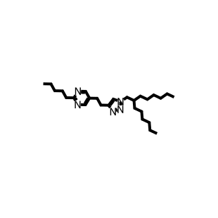 CCCCCCC(CCCCCC)Cn1cc(CCc2cnc(CCCCC)nc2)nn1